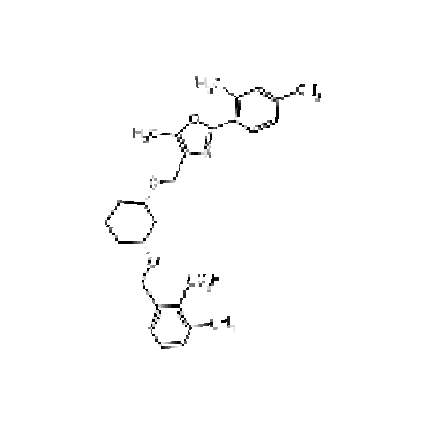 Cc1ccc(-c2nc(CO[C@H]3CCC[C@@H](OCc4cccc(C)c4C(=O)O)C3)c(C)o2)c(C)c1